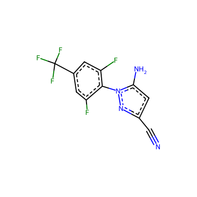 N#Cc1cc(N)n(-c2c(F)cc(C(F)(F)F)cc2F)n1